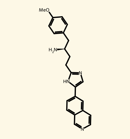 COc1ccc(C[C@H](N)CCc2ncc(-c3ccc4cnccc4c3)[nH]2)cc1